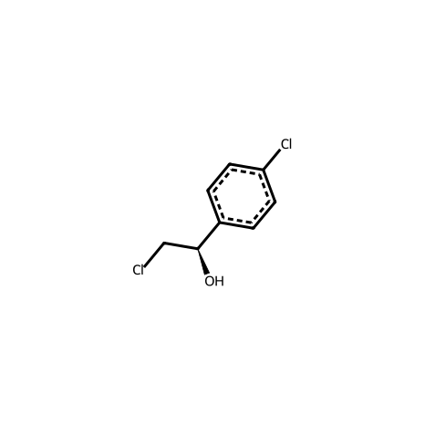 O[C@@H](CCl)c1ccc(Cl)cc1